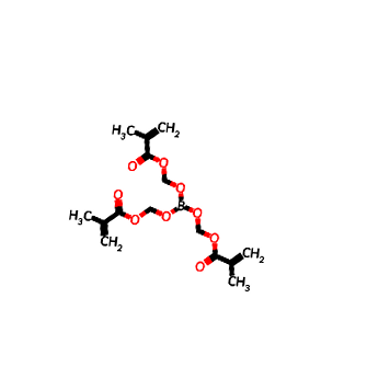 C=C(C)C(=O)OCOB(OCOC(=O)C(=C)C)OCOC(=O)C(=C)C